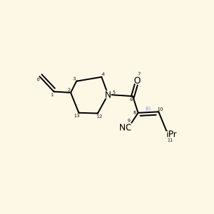 C=CC1CCN(C(=O)/C(C#N)=C/C(C)C)CC1